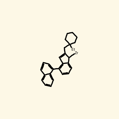 CCC1(CC2=Cc3c(-c4cccc5ccccc45)cccc3[CH]2[Zr])CCCCC1